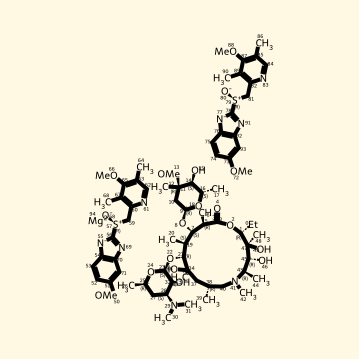 CC[C@H]1OC(=O)[C@H](C)[C@@H](O[C@H]2C[C@@](C)(OC)[C@@H](O)[C@H](C)O2)[C@H](C)[C@@H](O[C@@H]2O[C@H](C)C[C@H](N(C)C)[C@H]2O)[C@](C)(O)C[C@@H](C)CN(C)[C@H](C)[C@@H](O)[C@]1(C)O.COc1ccc2[n-]c([S@@+]([O-])Cc3ncc(C)c(OC)c3C)nc2c1.COc1ccc2[n-]c([S@@+]([O-])Cc3ncc(C)c(OC)c3C)nc2c1.[Mg+2]